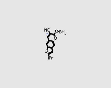 BOC(=O)/C(C#N)=C\c1ccc2cc(C(C)C)oc2c1